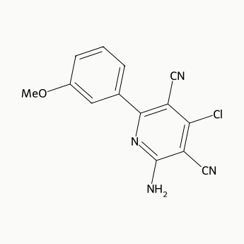 COc1cccc(-c2nc(N)c(C#N)c(Cl)c2C#N)c1